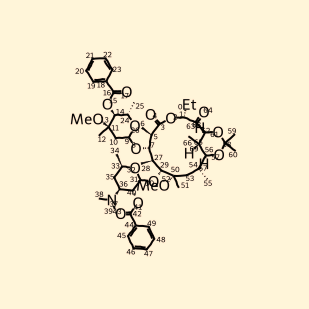 CC[C@H]1OC(=O)[C@H](C)[C@@H](OC2C[C@@](C)(OC)[C@@H](OC(=O)c3ccccc3)[C@H](C)O2)[C@H](C)[C@@H](OC2O[C@H](C)C[C@H](N(C)C)[C@H]2OC(=O)c2ccccc2)[C@@](C)(OC)C[C@@H](C)[C@@H]2OC(C)(C)O[C@@H](C1=O)[C@H]2C